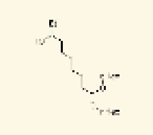 CCCCCCOC(CCCCCCC(O)CC)OCCCCCC